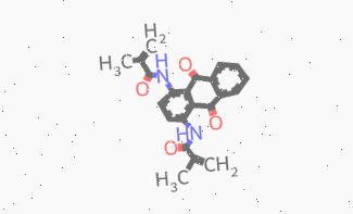 C=C(C)C(=O)Nc1ccc(NC(=O)C(=C)C)c2c1C(=O)c1ccccc1C2=O